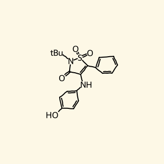 CC(C)(C)N1C(=O)C(Nc2ccc(O)cc2)=C(c2ccccc2)S1(=O)=O